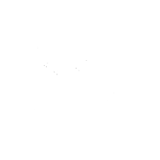 CC(C(=O)N(C)c1cc(C(F)(F)F)nn1-c1cccc(Cl)c1)c1ccc(C(=O)O)c(F)c1